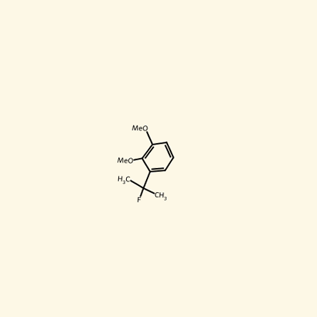 COc1cccc(C(C)(C)F)c1OC